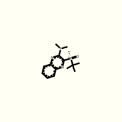 CP(C)c1nc2ccccc2nc1[P@@](C)(=O)C(C)(C)C